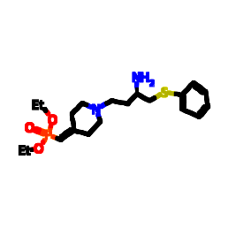 CCOP(=O)(C=C1CCN(CC[C@@H](N)CSc2ccccc2)CC1)OCC